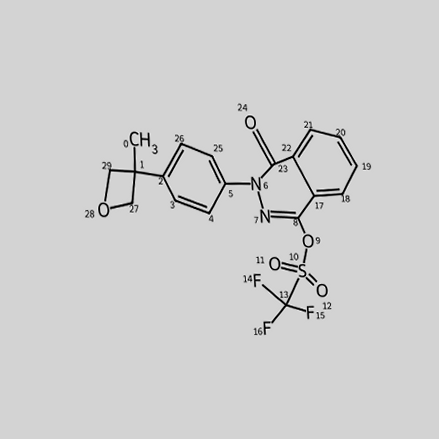 CC1(c2ccc(-n3nc(OS(=O)(=O)C(F)(F)F)c4ccccc4c3=O)cc2)COC1